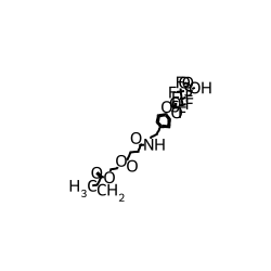 C=C(C)C(=O)OCCOC(=O)CCC(=O)NCCc1ccc(OS(=O)(=O)C(F)(F)C(F)(F)C(F)(F)S(=O)(=O)O)cc1